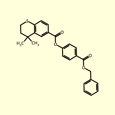 CC1(C)CCSc2ccc(C(=O)Oc3ccc(C(=O)OCc4ccccc4)cc3)cc21